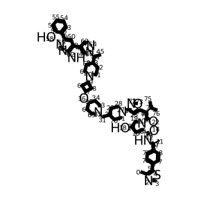 Cc1ncsc1-c1ccc([C@H](C)NC(=O)[C@@H]2C[C@@H](O)CN2C(=O)[C@@H](c2cc(N3CCC(CN4CCC(O[C@H]5C[C@@H](N6CCC(C(C)n7cc(-c8cc(-c9ccccc9O)nnc8N)cn7)CC6)C5)CC4)CC3)no2)C(C)C)cc1